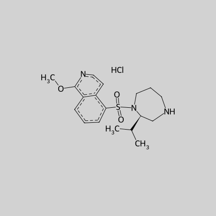 COc1nccc2c(S(=O)(=O)N3CCCNC[C@H]3C(C)C)cccc12.Cl